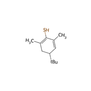 CC1=CC(C(C)(C)C)CC(C)=C1S